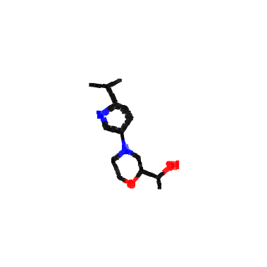 CC(C)c1ccc(N2CCOC(C(C)O)C2)cn1